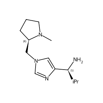 CC(C)[C@H](N)c1cn(C[C@H]2CCCN2C)cn1